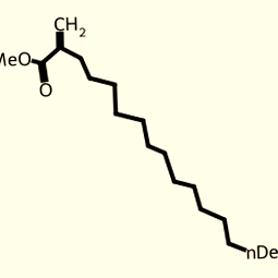 C=C(CCCCCCCCCCCCCCCCCCCCCC)C(=O)OC